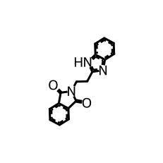 O=C1c2ccccc2C(=O)N1CCc1nc2ccccc2[nH]1